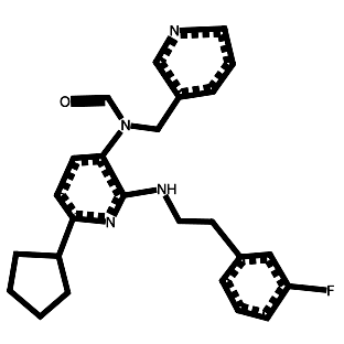 O=CN(Cc1cccnc1)c1ccc(C2CCCC2)nc1NCCc1cccc(F)c1